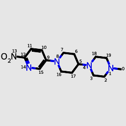 CN1CCN(C2CCN(c3ccc([N+](=O)[O-])nc3)CC2)CC1